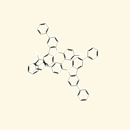 N#Cc1ccc(-n2c3ccc(-c4ccccc4)cc3c3cc(-c4ccccc4)ccc32)c(-c2cc(-c3cc(C(F)(F)F)cc(C(F)(F)F)c3)ccc2-n2c3ccc(-c4ccccc4)cc3c3cc(-c4ccccc4)ccc32)c1